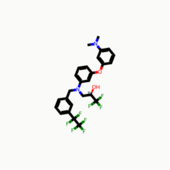 CN(C)c1cccc(Oc2cccc(N(Cc3cccc(C(F)(F)C(F)(F)F)c3)C[C@@H](O)C(F)(F)F)c2)c1